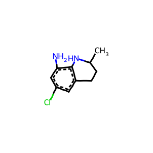 CC1CCc2cc(Cl)cc(N)c2N1